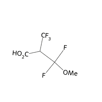 COC(F)(F)C(C(=O)O)C(F)(F)F